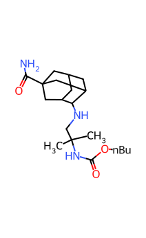 CCCCOC(=O)NC(C)(C)CNC1C2CC3CC1CC(C(N)=O)(C3)C2